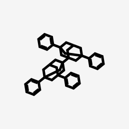 c1ccc(C23CC4CC(c5ccccc5)(C2)CC(C25CC6CC(c7ccccc7)(CC(c7ccccc7)(C6)C2)C5)(C4)C3)cc1